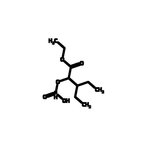 CCOC(=O)C(O[PH](=O)O)C(CC)CC